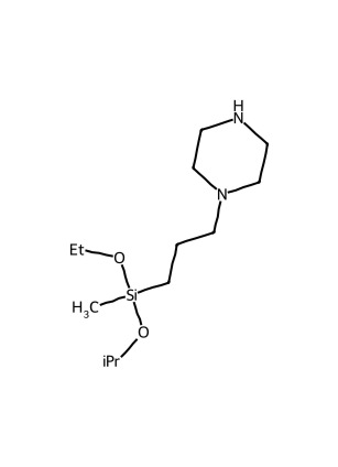 CCO[Si](C)(CCCN1CCNCC1)OC(C)C